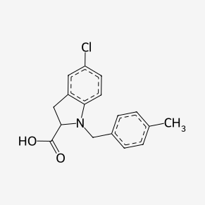 Cc1ccc(CN2c3ccc(Cl)cc3CC2C(=O)O)cc1